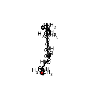 CCOCc1nc2c(N)nc3ccccc3c2n1CC(C)(C)NC(=O)CCOCCOCCNC(=O)CCN1C(=O)CC(SCC(=O)NCCCCC2NC3(C)/C4=C/C=C\C=C(C=C4)\C3(C)C2=O)C1=O